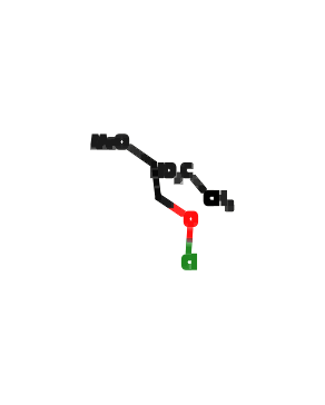 CC(=O)O.COCCOCl